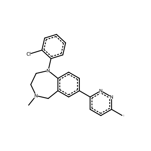 [CH]c1ccc(-c2ccc3c(c2)CN(C)CCN3c2ccccc2Cl)nn1